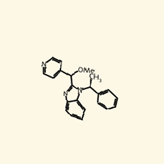 COC(c1ccncc1)c1nc2ccccc2n1[C@@H](C)c1ccccc1